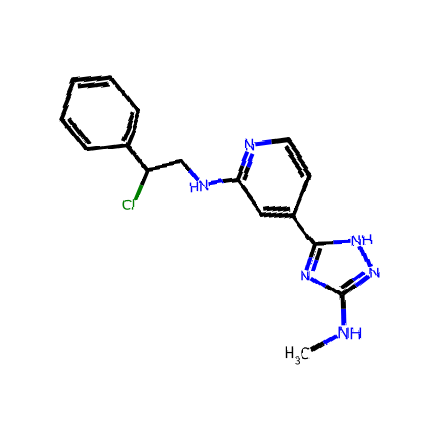 CNc1n[nH]c(-c2ccnc(NCC(Cl)c3ccccc3)c2)n1